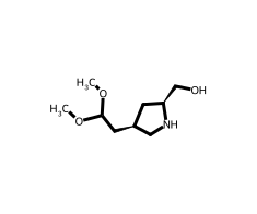 COC(C[C@@H]1CN[C@H](CO)C1)OC